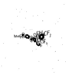 COC(=O)N[C@H]1CC[C@H](NC(=O)N2C[C@@H](N(C)C(=O)N(C)c3cc(C(F)(F)F)cc(C(F)(F)F)c3)[C@H](c3ccc(F)cn3)C2)CC1